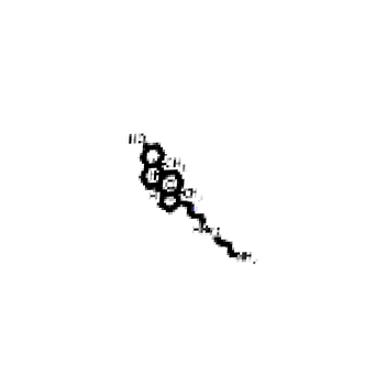 C[C@]12CCC(O)CC1CC[C@@H]1[C@H]2CC[C@]2(C)C(/C=C/CNOCCCN)CC[C@@]12O